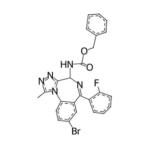 Cc1nnc2n1-c1ccc(Br)cc1C(c1ccccc1F)=NC2NC(=O)OCc1ccccc1